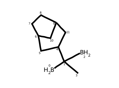 BC(B)(C)C1CC2CCC(C2)C1